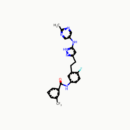 Cc1ncc(Nc2cc(CCc3cc(NC(=O)c4cccc(C(F)(F)F)c4)ccc3F)n[nH]2)cn1